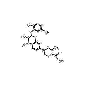 CC(=O)N1c2ccc(N3CCN(C(=O)OC(C)(C)C)[C@H](C)C3)cc2CC(Cc2cc(C#N)ccc2C)[C@@H]1O